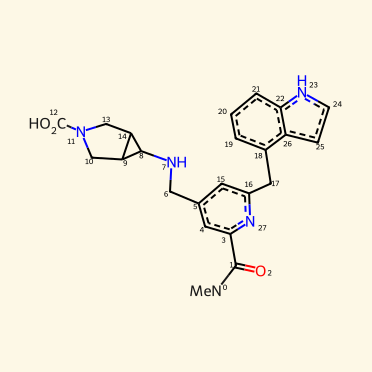 CNC(=O)c1cc(CNC2C3CN(C(=O)O)CC32)cc(Cc2cccc3[nH]ccc23)n1